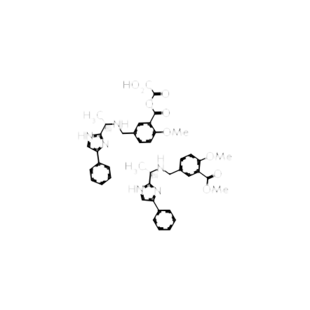 COC(=O)c1cc(CN[C@@H](C)c2nc(-c3ccccc3)c[nH]2)ccc1OC.COc1ccc(CN[C@@H](C)c2nc(-c3ccccc3)c[nH]2)cc1C(=O)OC(=O)C(=O)O